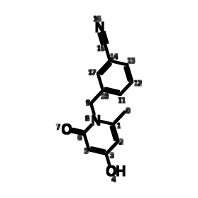 Cc1cc(O)cc(=O)n1Cc1cccc(C#N)c1